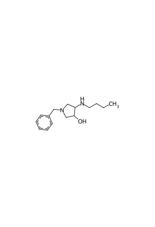 CCCCNC1CN(Cc2ccccc2)CC1O